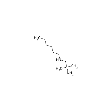 CCCCCCNCC(C)(C)N